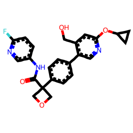 O=C(Nc1ccc(F)nc1)C1(c2ccc(-c3cnc(OC4CC4)cc3CO)cc2)COC1